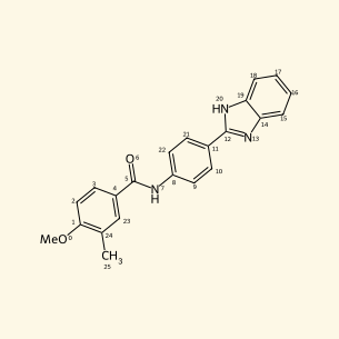 COc1ccc(C(=O)Nc2ccc(-c3nc4ccccc4[nH]3)cc2)cc1C